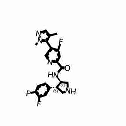 Cc1cnn(C)c1-c1cnc(C(=O)N[C@H]2CNC[C@@H]2c2ccc(F)c(F)c2)cc1F